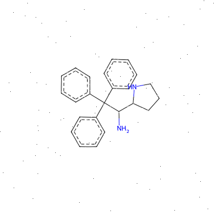 NC(C1CCCN1)C(c1ccccc1)(c1ccccc1)c1ccccc1